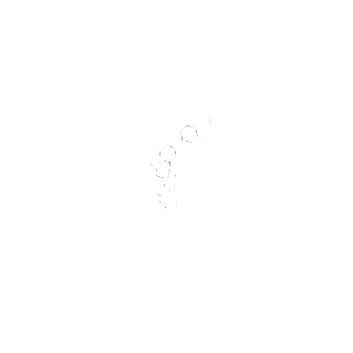 Oc1c(Cl)cc(-c2ccc3ncc(NC(=S)NCCC4CCCCC4)nc3c2)cc1Cl